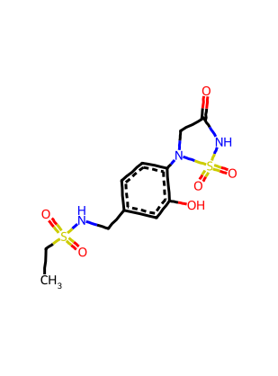 CCS(=O)(=O)NCc1ccc(N2CC(=O)NS2(=O)=O)c(O)c1